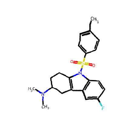 Cc1ccc(S(=O)(=O)n2c3c(c4cc(F)ccc42)CC(N(C)C)CC3)cc1